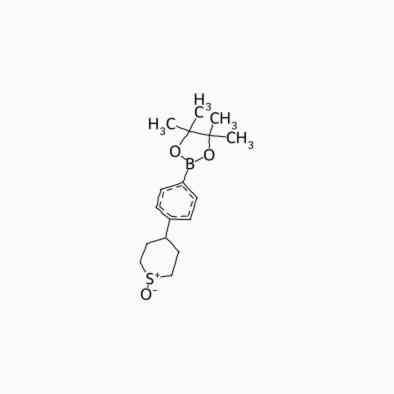 CC1(C)OB(c2ccc(C3CC[S+]([O-])CC3)cc2)OC1(C)C